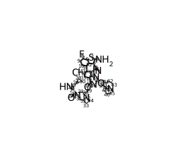 N#Cc1c(N)sc2c(F)ccc(-c3c(Cl)cc4c(OCC5CN(C(=O)[C@@H]6N[C@H]6C6CC6)CC6CCN65)nc(OCC56CCCN5CCC6)nc4c3F)c12